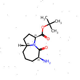 CC(C)(C)OC(=O)[C@@H]1CC[C@H]2CCC[C@H](N)C(=O)N21